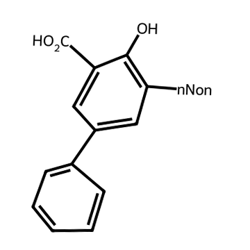 CCCCCCCCCc1cc(-c2ccccc2)cc(C(=O)O)c1O